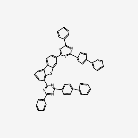 c1ccc(-c2ccc(-c3nc(-c4ccccc4)nc(-c4ccc5c(c4)sc4c(-c6nc(-c7ccccc7)nc(-c7ccc(-c8ccccc8)cc7)n6)cccc45)n3)cc2)cc1